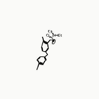 CCN(CC)S(=O)(=O)c1cc(Cc2ccc(C)cc2)ccc1C